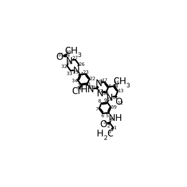 C=CC(=O)Nc1cccc(-n2c(=O)cc(C)c3cnc(Nc4ccc(N5CCN(C(C)=O)CC5)cc4Cl)nc32)c1